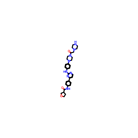 O=C(Nc1ccc(-c2ccnc(Nc3ccc(N4CCN(C(=O)CN5CCNCC5)CC4)cc3)n2)cc1)C1CCOC1